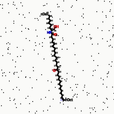 CCCCCCCC/C=C\CCCCCCCCCCCC(=O)CCCCCCCCCCCCCCC(=O)N[C@H](CO)CCCCCCCCCCCCCCCC